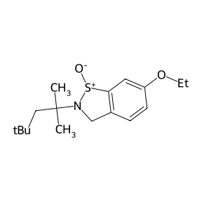 CCOc1ccc2c(c1)[S+]([O-])N(C(C)(C)CC(C)(C)C)C2